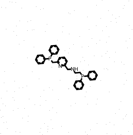 c1ccc(P(CCNCc2cccc(CP(c3ccccc3)c3ccccc3)n2)c2ccccc2)cc1